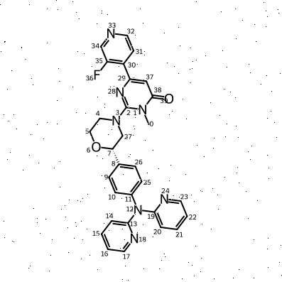 Cn1c(N2CCO[C@@H](c3ccc(N(c4ccccn4)c4ccccn4)cc3)C2)nc(-c2ccncc2F)cc1=O